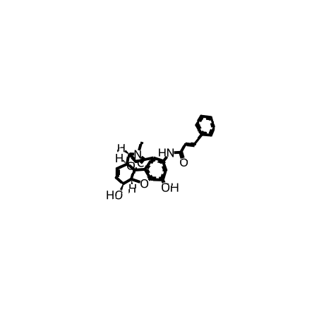 CN1CC[C@@]23c4c5c(O)cc(NC(=O)/C=C/c6ccccc6)c4C(=O)[C@@H]1[C@@H]2C=C[C@H](O)[C@@H]3O5